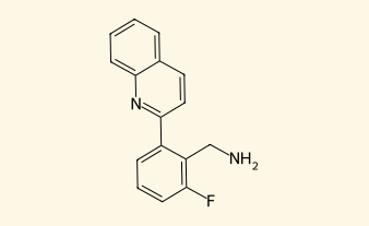 NCc1c(F)cccc1-c1ccc2ccccc2n1